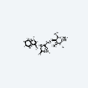 CO[C@H](/C(=N/OCC(=O)N[C@@H](Cc1c[nH]c2ccccc12)C(N)=O)[C@@H](O)[C@@H](C)O)C(C)C